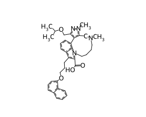 CC(C)OCc1nn(C)c2c1-c1cccc3c(CCCOc4cccc5ccccc45)c(C(=O)O)n(c13)CCCCN(C)C2